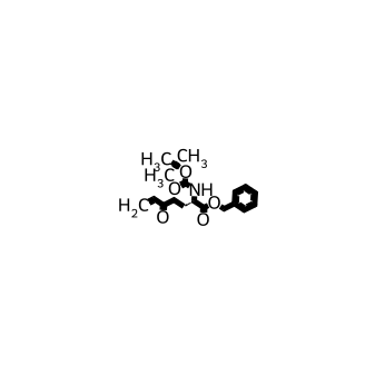 C=CC(=O)CC[C@H](NC(=O)OC(C)(C)C)C(=O)OCc1ccccc1